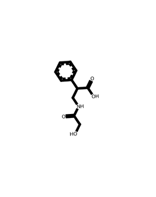 O=C(CO)NCC(C(=O)O)c1ccccc1